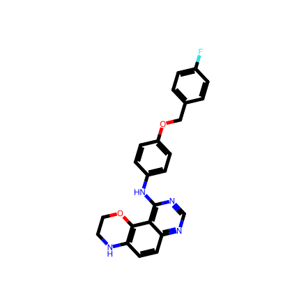 Fc1ccc(COc2ccc(Nc3ncnc4ccc5c(c34)OCCN5)cc2)cc1